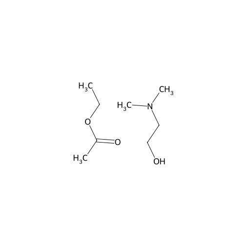 CCOC(C)=O.CN(C)CCO